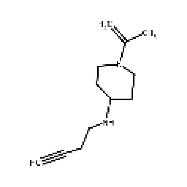 C#CCCNC1CCN(C(=C)C)CC1